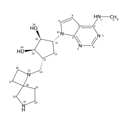 CNc1ncnc2c1ccn2[C@@H]1C[C@H](CN2CCC23CCNC3)[C@@H](O)[C@H]1O